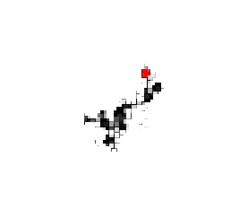 O=C(NCCNC(=O)c1cccc(S(=O)(=O)N2CCS[C@H]2C(=O)O[C@@H](Cc2c(Cl)c[n+]([O-])cc2Cl)c2ccc(OC(F)F)c(OCC3CC3)c2)c1)c1cccc(CN(C(=O)O[C@H]2CN3CCC2CC3)c2ccccc2)c1.O=CO